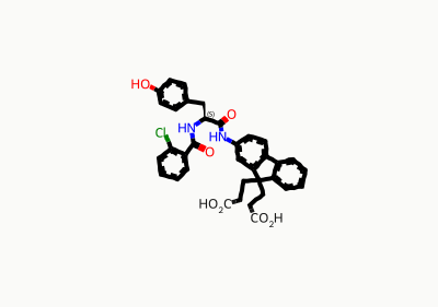 O=C(O)CCC1(CCC(=O)O)c2ccccc2-c2ccc(NC(=O)[C@H](Cc3ccc(O)cc3)NC(=O)c3ccccc3Cl)cc21